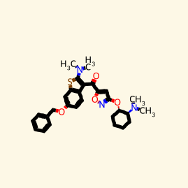 CN(C)c1sc2cc(OCc3ccccc3)ccc2c1C(=O)c1cc(O[C@H]2CCCC[C@@H]2N(C)C)no1